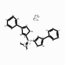 [CH3][Ge]([CH3])=[Zr+2]([C]1=CC(c2ccccc2)=CC1)[C]1=CC(c2ccccc2)=CC1.[Cl-].[Cl-]